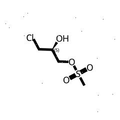 CS(=O)(=O)OC[C@H](O)CCl